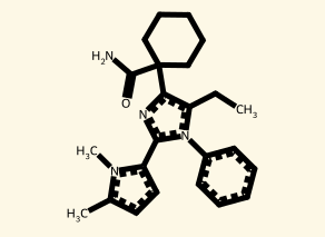 CCc1c(C2(C(N)=O)CCCCC2)nc(-c2ccc(C)n2C)n1-c1ccccc1